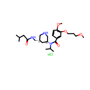 COCCCOc1cc(C(=O)N(C(C)C)[C@H]2CNC[C@@H](CNC(=O)CC(C)C)C2)ccc1OC.Cl